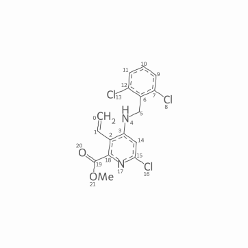 C=Cc1c(NCc2c(Cl)cccc2Cl)cc(Cl)nc1C(=O)OC